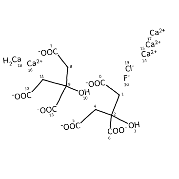 O=C([O-])CC(O)(CC(=O)[O-])C(=O)[O-].O=C([O-])CC(O)(CC(=O)[O-])C(=O)[O-].[Ca+2].[Ca+2].[Ca+2].[Ca+2].[CaH2].[Cl-].[F-]